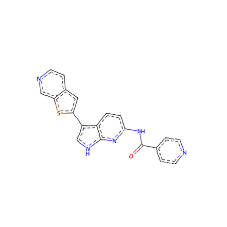 O=C(Nc1ccc2c(-c3cc4ccncc4s3)c[nH]c2n1)c1ccncc1